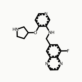 Fc1cc(CNc2cnccc2OC2CCNC2)cc2nccnc12